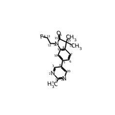 Cc1ncc(-c2ccc3c(c2)N(CCF)C(=O)C3(C)C)cn1